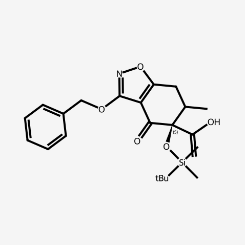 C=C(O)[C@]1(O[Si](C)(C)C(C)(C)C)C(=O)c2c(OCc3ccccc3)noc2CC1C